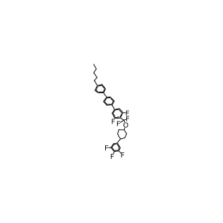 CCCCCc1ccc(-c2ccc(-c3cc(F)c(C(F)(F)OC4CCC(c5cc(F)c(F)c(F)c5)CC4)c(F)c3)cc2)cc1